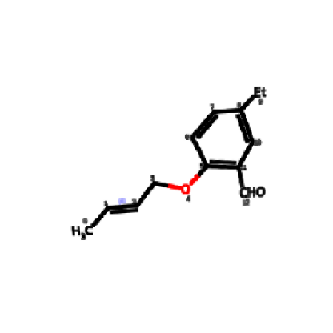 C/C=C/COc1ccc(CC)cc1C=O